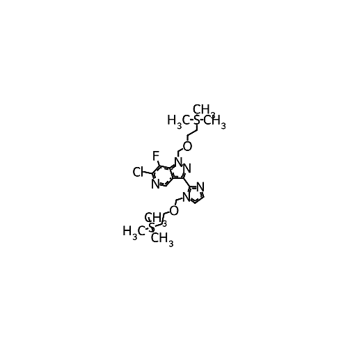 CS(C)(C)CCOCn1ccnc1-c1nn(COCCS(C)(C)C)c2c(F)c(Cl)ncc12